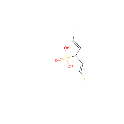 O=P(O)(O)C(/C=C/F)/C=C/F